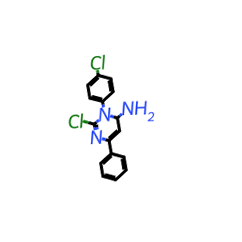 NC1C=C(c2ccccc2)N=C(Cl)N1c1ccc(Cl)cc1